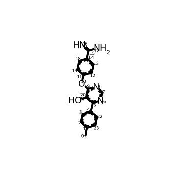 Cc1ccc(-c2ncnc(Oc3ccc(C(=N)N)cc3)c2O)cc1